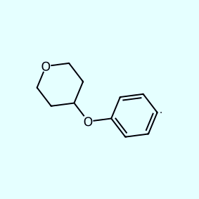 [c]1ccc(OC2CCOCC2)cc1